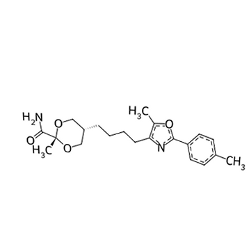 Cc1ccc(-c2nc(CCCC[C@H]3CO[C@@](C)(C(N)=O)OC3)c(C)o2)cc1